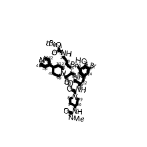 CNC(=O)NC1CCN(C(=O)N[C@H](Cc2cc(Br)c(O)c(Br)c2)C(=O)N[C@@H](CCCCNC(=O)OC(C)(C)C)C(=O)N2CCC(c3ccncc3)CC2)CC1